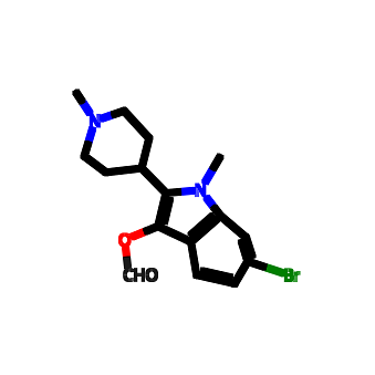 CN1CCC(c2c(OC=O)c3ccc(Br)cc3n2C)CC1